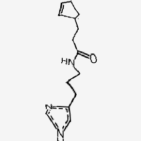 O=C(CC[C]1C=CCC1)NCCCc1c[nH]cn1